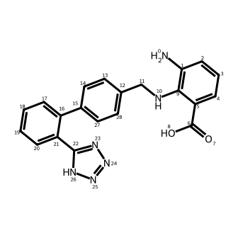 Nc1cccc(C(=O)O)c1NCc1ccc(-c2ccccc2-c2nnn[nH]2)cc1